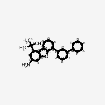 CC(C)(C)c1cc(N)cc2oc3c(-c4cccc(-c5ccccc5)c4)cccc3c12